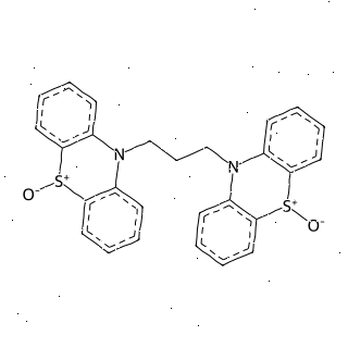 [O-][S+]1c2ccccc2N(CCCN2c3ccccc3[S+]([O-])c3ccccc32)c2ccccc21